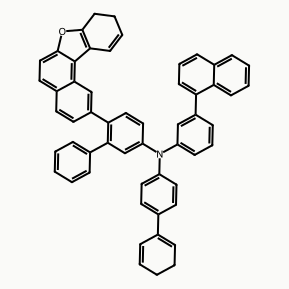 C1=CC(c2ccc(N(c3cccc(-c4cccc5ccccc45)c3)c3ccc(-c4ccc5ccc6oc7c(c6c5c4)C=CCC7)c(-c4ccccc4)c3)cc2)=CCC1